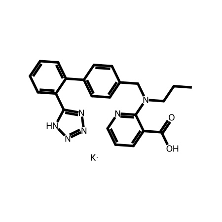 CCCN(Cc1ccc(-c2ccccc2-c2nnn[nH]2)cc1)c1ncccc1C(=O)O.[K]